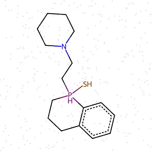 S[PH]1(CCN2CCCCC2)CCCc2ccccc21